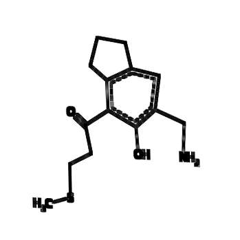 CSCCC(=O)c1c(O)c(CN)cc2c1CCC2